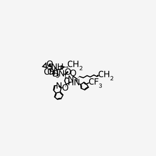 C=CCCCCC[C@H](Nc1cccc(C(F)(F)F)c1)C(=O)N1C[C@H](Oc2nccc3ccccc23)C[C@H]1C(=O)N[C@]1(C(=O)NS(=O)(=O)C2(C)CC2)C[C@H]1C=C